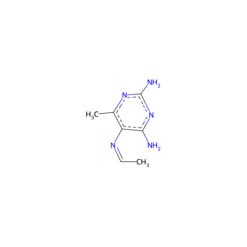 C/C=N\c1c(C)nc(N)nc1N